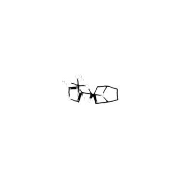 CC(C)(C)OC(=O)N1C2C=C(c3cscn3)CC1CC2